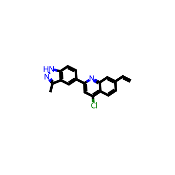 C=Cc1ccc2c(Cl)cc(-c3ccc4[nH]nc(C)c4c3)nc2c1